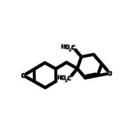 O=C(O)C1CC2OC2=CC1(CC1CCC2OC2C1)C(=O)O